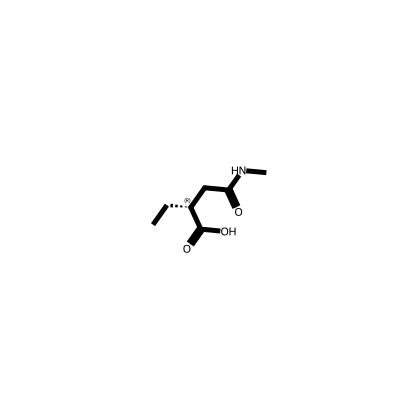 CC[C@H](CC(=O)NC)C(=O)O